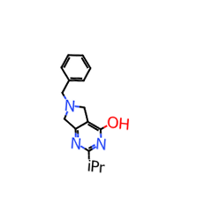 CC(C)c1nc(O)c2c(n1)CN(Cc1ccccc1)C2